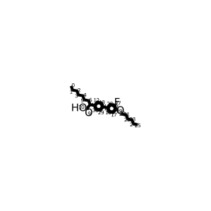 CCCCCCCC(C(=O)O)c1ccc(-c2ccc(OCCCCCC)c(F)c2)cc1